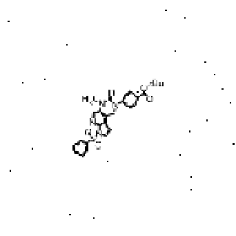 CN1C(=O)N(c2ccc(C(=O)OC(C)(C)C)cc2)Cc2c1cnc1c2ccn1S(=O)(=O)c1ccccc1